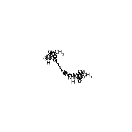 CC(=O)c1c(C)c2cnc(Nc3ccc(N4CCN(CCCCCCCCOc5ccc6c(C)cc(=O)n(C7CCC(=O)NC7=O)c6c5)CC4)cn3)nc2n(C2CCCC2)c1=O